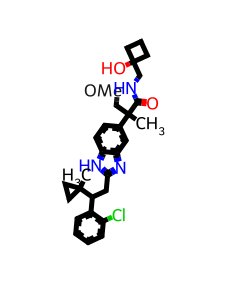 COCC(C)(C(=O)NCC1(O)CCC1)c1ccc2[nH]c(CC(c3ccccc3Cl)C3(C)CC3)nc2c1